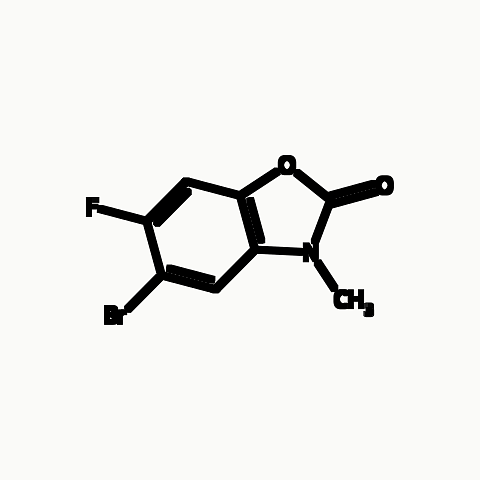 Cn1c(=O)oc2cc(F)c(Br)cc21